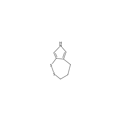 c1[nH]cc2c1CCCSS2